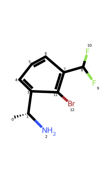 C[C@@H](N)c1cccc(C(F)F)c1Br